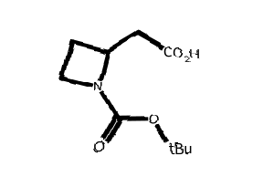 CC(C)(C)OC(=O)N1CCC1CC(=O)O